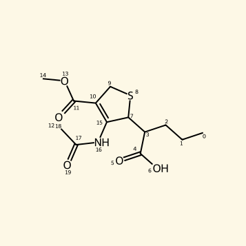 CCCC(C(=O)O)C1SCC(C(=O)OC)=C1NC(C)=O